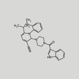 COc1ccccc1N1C(C(C)C)=CC=C(C#N)C1N1CCN(C(=O)c2c[nH]c3ccccc23)CC1